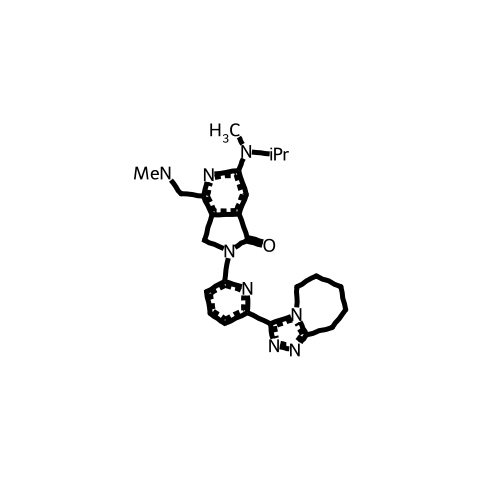 CNCc1nc(N(C)C(C)C)cc2c1CN(c1cccc(-c3nnc4n3CCCCC4)n1)C2=O